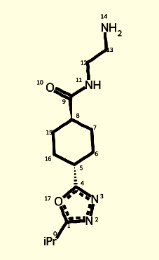 CC(C)c1nnc([C@H]2CC[C@H](C(=O)NCCN)CC2)o1